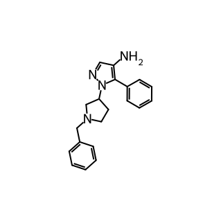 Nc1cnn(C2CCN(Cc3ccccc3)C2)c1-c1ccccc1